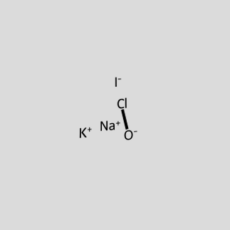 [I-].[K+].[Na+].[O-]Cl